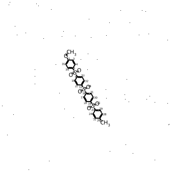 COc1ccc(S(=O)(=O)c2ccc(S(=O)(=O)c3ccc(S(=O)(=O)c4ccc(C)cc4)cc3)cc2)cc1